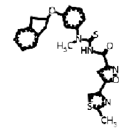 Cc1nc(-c2cc(C(=O)NC(=S)N(C)c3cccc(OC4Cc5ccccc5C4)c3)no2)cs1